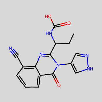 CCC(NC(=O)O)c1nc2c(C#N)cccc2c(=O)n1-c1cn[nH]c1